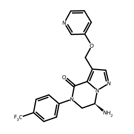 N[C@H]1CN(c2ccc(C(F)(F)F)cc2)C(=O)c2c(COc3cccnc3)cnn21